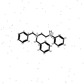 c1ccc(CN(CC[SiH2]c2ccccc2)Cc2ccccc2)cc1